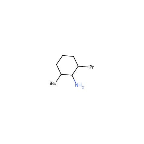 CCC(C)C1CCCC(C(C)C)C1N